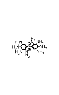 Nc1cc(S(=O)(=O)c2cc(N)c(N)c(N)c2N)c(N)c(N)c1N